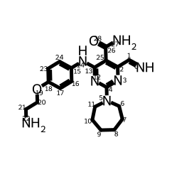 N=Cc1nc(N2CCCCCC2)nc(Nc2ccc(OCCN)cc2)c1C(N)=O